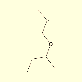 C[CH]COC(C)CC